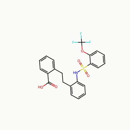 O=C(O)c1ccccc1CCc1ccccc1NS(=O)(=O)c1ccccc1OC(F)(F)F